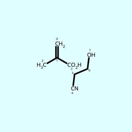 C=C(C)C(=O)O.N#CCCO